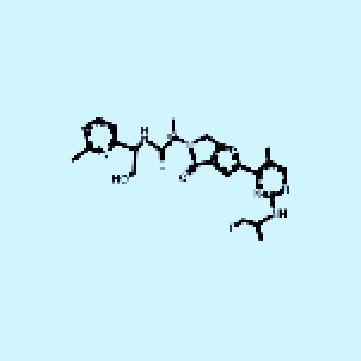 Cc1cccc(C(CO)NC(=O)[C@@H](C)N2Cc3sc(-c4nc(NC(C)CF)ncc4C)cc3C2=O)n1